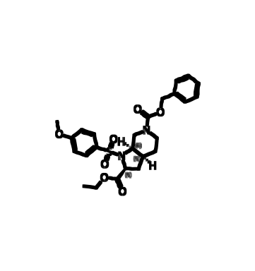 CCOC(=O)[C@@H]1C[C@@H]2CCN(C(=O)OCc3ccccc3)C[C@@H]2N1S(=O)(=O)c1ccc(OC)cc1